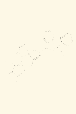 COc1c2n(cc(Br)c1=O)CC(=O)C(C)(CCCO[Si](c1ccccc1)(c1ccccc1)C(C)(C)C)C2OC(C)=O